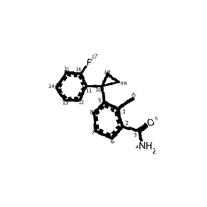 Cc1c(C(N)=O)cccc1C1(c2ccccc2F)CC1